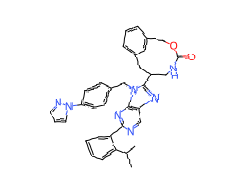 CC(C)c1ccccc1-c1ncc2nc(C3CNC(=O)OCc4cccc(c4)C3)n(Cc3ccc(-n4cccn4)cc3)c2n1